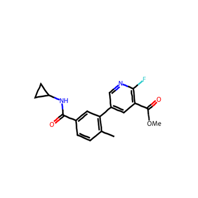 COC(=O)c1cc(-c2cc(C(=O)NC3CC3)ccc2C)cnc1F